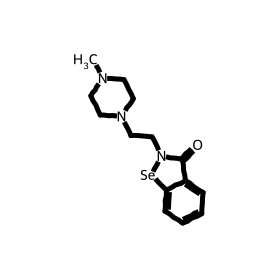 CN1CCN(CCn2[se]c3ccccc3c2=O)CC1